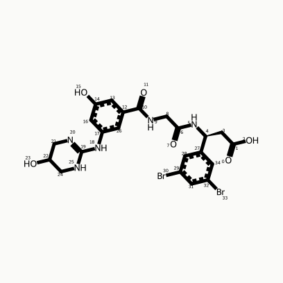 O=C(O)C[C@H](NC(=O)CNC(=O)c1cc(O)cc(NC2=NCC(O)CN2)c1)c1cc(Br)cc(Br)c1